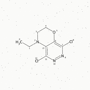 CCN1CCOc2c(Cl)nnc(Cl)c21